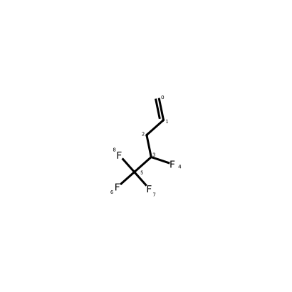 C=CCC(F)C(F)(F)F